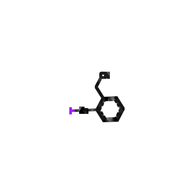 N#CCc1cccc[c]1[Zn][I]